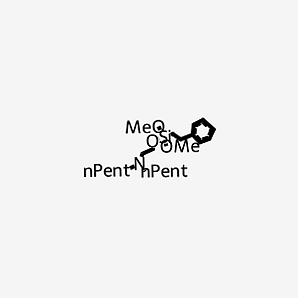 CCCCCN(CCCCC)CCO[Si](CCc1ccccc1)(OC)OC